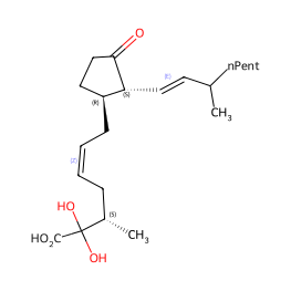 CCCCCC(C)/C=C/[C@H]1C(=O)CC[C@@H]1C/C=C\C[C@H](C)C(O)(O)C(=O)O